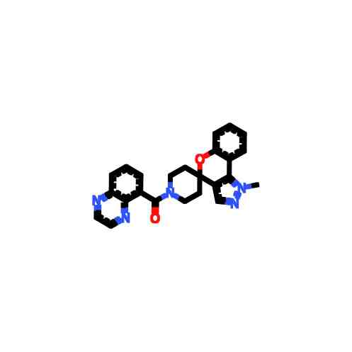 Cn1ncc2c1-c1ccccc1OC21CCN(C(=O)c2cccc3nccnc23)CC1